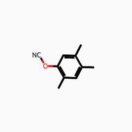 Cc1cc(C)c(OC#N)cc1C